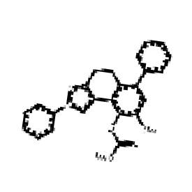 COC(=O)Oc1c(SC)cc(-c2ccccc2)c2c1-c1cn(-c3ccccc3)nc1CC2